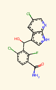 NC(=O)c1ccc(Cl)c(C(O)c2c[nH]c3ncc(Cl)cc23)c1F